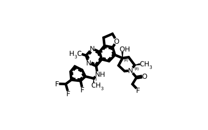 Cc1nc(N[C@H](C)c2cccc(C(F)F)c2F)c2cc([C@@]3(O)CCN(C(=O)CF)[C@H](C)C3)c3c(c2n1)CCO3